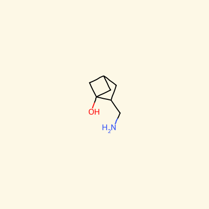 NCC1CC2CC1(O)C2